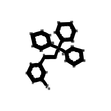 Fc1cccc(C=C[Si](c2ccccc2)(c2ccccc2)c2ccccc2)c1